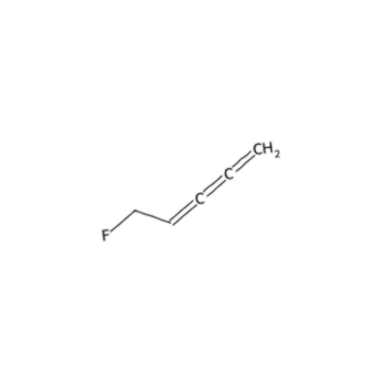 C=C=C=CCF